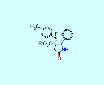 CCOC(=O)C1(Sc2ccc(C)cc2)CC(=O)NC1c1ccccc1F